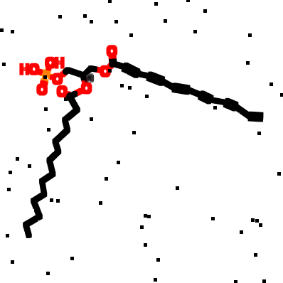 C#CC#CC#CC#CC#CC#CC(=O)OC[C@H](COP(=O)(O)O)OC(=O)CCCCCCCCCCCCC